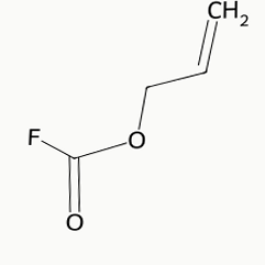 C=CCOC(=O)F